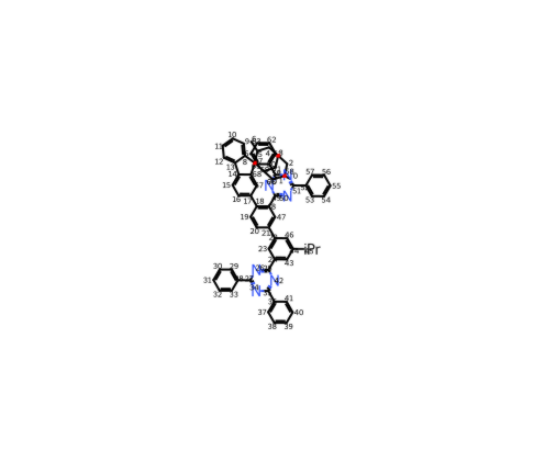 CC1CC2CC(C)C3(c4ccccc4-c4ccc(-c5ccc(-c6cc(-c7nc(-c8ccccc8)nc(-c8ccccc8)n7)cc(C(C)C)c6)cc5-c5nc(-c6ccccc6)nc(-c6ccccc6)n5)cc43)C(C1)C2